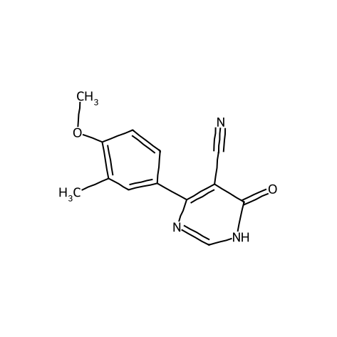 COc1ccc(-c2nc[nH]c(=O)c2C#N)cc1C